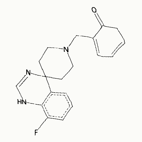 O=C1CC=CC=C1CN1CCC2(CC1)N=CNc1c(F)cccc12